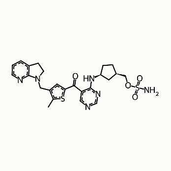 Cc1sc(C(=O)c2cncnc2N[C@H]2CC[C@@H](COS(N)(=O)=O)C2)cc1CN1CCc2cccnc21